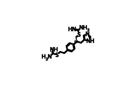 N=C(N)SCCc1ccc([C@H](CSC(=N)N)Cc2cnc[nH]2)cc1